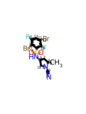 C[C@H]1C[C@@H](NS(=O)(=O)c2c(F)c(Br)cc(F)c2Br)CN1C#N